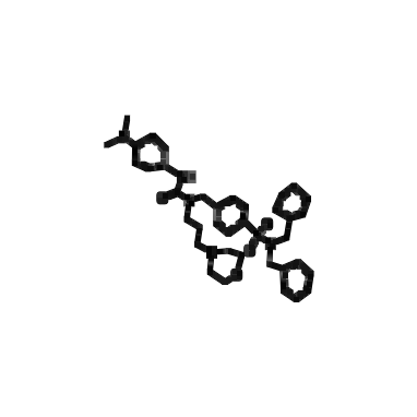 CN(C)c1ccc(NC(=O)N(CCCN2CCOCC2)Cc2ccc(S(=O)(=O)N(Cc3ccccc3)Cc3ccccc3)cc2)cc1